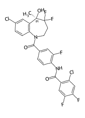 C[C@@]1(O)c2cc(Cl)ccc2N(C(=O)c2ccc(NC(=O)c3cc(F)c(F)cc3Cl)c(F)c2)CCC1(F)F